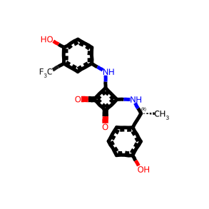 C[C@@H](Nc1c(Nc2ccc(O)c(C(F)(F)F)c2)c(=O)c1=O)c1cccc(O)c1